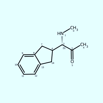 CN[C@H](C(C)=O)C1Cc2ccccc2C1